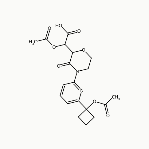 CC(=O)OC(C(=O)O)C1OCCN(c2cccc(C3(OC(C)=O)CCC3)n2)C1=O